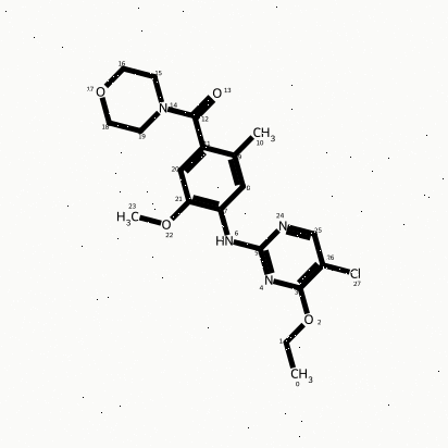 CCOc1nc(Nc2cc(C)c(C(=O)N3CCOCC3)cc2OC)ncc1Cl